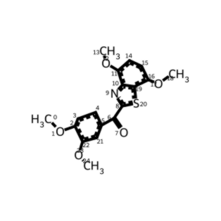 COc1ccc(C(=O)c2nc3c(OC)ccc(OC)c3s2)cc1OC